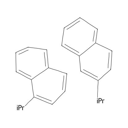 CC(C)c1ccc2ccccc2c1.CC(C)c1cccc2ccccc12